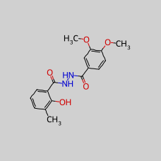 COc1ccc(C(=O)NNC(=O)c2cccc(C)c2O)cc1OC